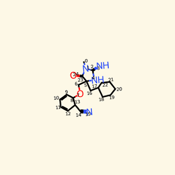 CN1C(=N)NC(COC2C=CC=CC2C#N)(CC2CCCCC2)C1=O